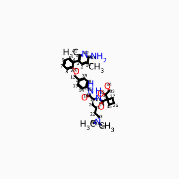 Cc1cc(-c2ccccc2OCc2ccc(NC(=O)[C@H](CCCCN(C)C)NC(=O)C3(C(=O)C=O)CCC3)cc2)c(C)nc1N